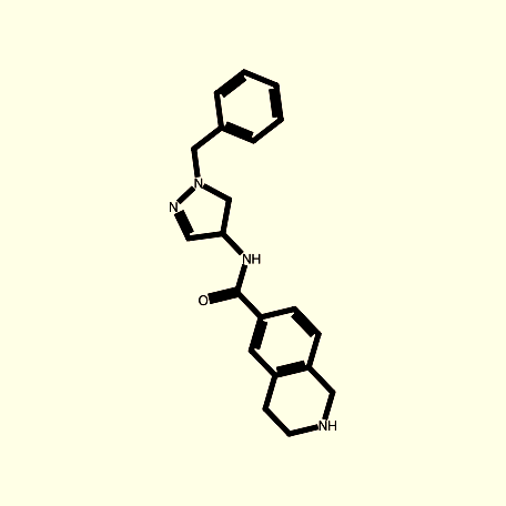 O=C(NC1C=NN(Cc2ccccc2)C1)c1ccc2c(c1)CCNC2